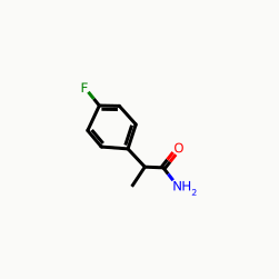 CC(C(N)=O)c1ccc(F)cc1